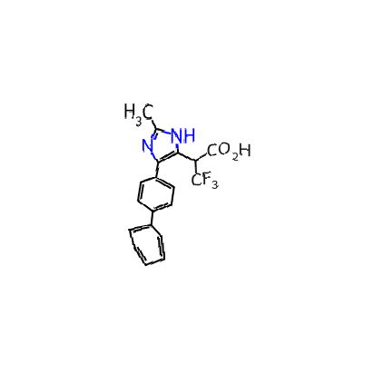 Cc1nc(-c2ccc(-c3ccccc3)cc2)c(C(C(=O)O)C(F)(F)F)[nH]1